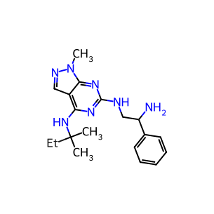 CCC(C)(C)Nc1nc(NCC(N)c2ccccc2)nc2c1cnn2C